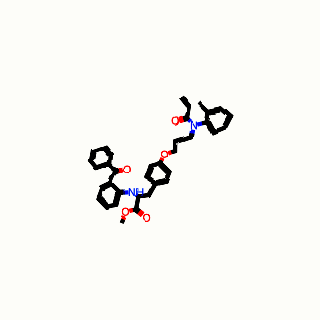 C=CC(=O)N(CCCOc1ccc(CC(Nc2ccccc2C(=O)c2ccccc2)C(=O)OC)cc1)c1ccccc1C